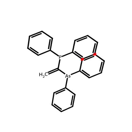 C=C(P(c1ccccc1)c1ccccc1)[As](c1ccccc1)c1ccccc1